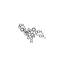 CCCCc1nc(O)c(C(=O)N2CCN(c3ccc(OC)cc3)CC2)c(O)c1-c1c(OC)cccc1OC